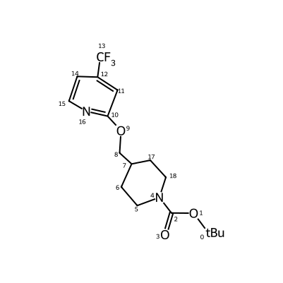 CC(C)(C)OC(=O)N1CCC(COc2cc(C(F)(F)F)ccn2)CC1